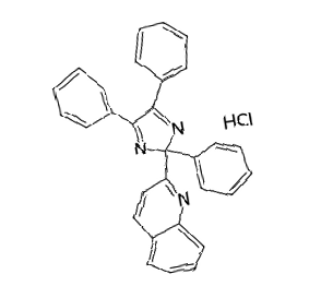 Cl.c1ccc(C2=NC(c3ccccc3)(c3ccc4ccccc4n3)N=C2c2ccccc2)cc1